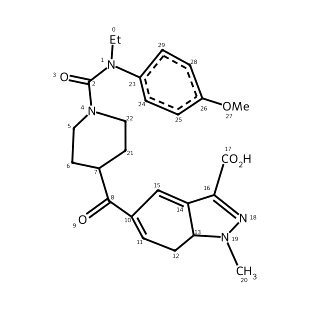 CCN(C(=O)N1CCC(C(=O)C2=CCC3C(=C2)C(C(=O)O)=NN3C)CC1)c1ccc(OC)cc1